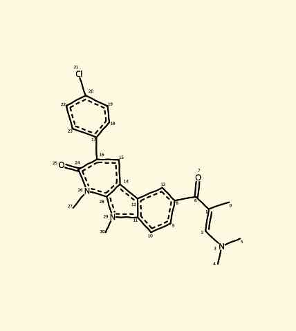 CC(=CN(C)C)C(=O)c1ccc2c(c1)c1cc(-c3ccc(Cl)cc3)c(=O)n(C)c1n2C